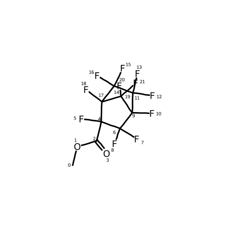 COC(=O)C1(F)C(F)(F)C2(F)C(F)(F)C(F)(F)C1(F)C2(F)F